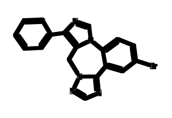 Brc1ccc2c(c1)-c1ncnn1Cc1c(-c3[c]cccc3)ncn1-2